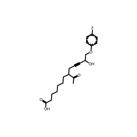 CC(=O)C(CC#CC(O)COc1ccc(F)cc1)CCCCCCC(=O)O